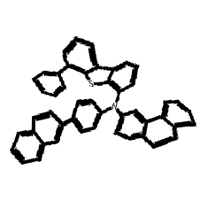 c1ccc(-c2cccc3c2sc2c(N(c4ccc(-c5ccc6ccccc6c5)cc4)c4ccc5ccc6ccccc6c5c4)cccc23)cc1